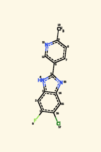 Fc1cc2[nH]c(-c3ccc(C(F)(F)F)nc3)nc2cc1Cl